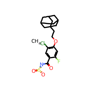 C.O=C(N=S(=O)=O)c1cc(Cl)c(OCCC23CC4CC(CC(C4)C2)C3)cc1F